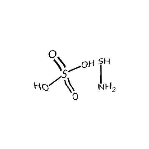 NS.O=S(=O)(O)O